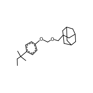 CCC(C)(C)c1ccc(OCOCC23CC4CC(CC(C4)C2)C3)cc1